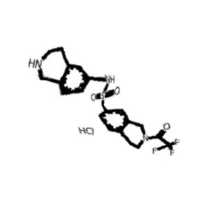 Cl.O=C(N1CCc2ccc(S(=O)(=O)Nc3ccc4c(c3)CCNC4)cc2C1)C(F)(F)F